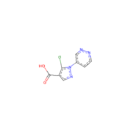 O=C(O)c1cnn(-c2ccnnc2)c1Cl